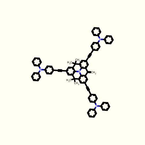 C=C1c2cc(C#Cc3ccc(N(c4ccccc4)c4ccccc4)cc3)cc3c2N2c4c1cc(C#Cc1ccc(N(c5ccccc5)c5ccccc5)cc1)cc4C(C)(C)c1cc(C#Cc4ccc(N(c5ccccc5)c5ccccc5)cc4)cc(c12)C3(C)C